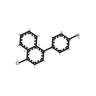 Clc1ccc(-c2ccc(Br)cc2)c2ccccc12